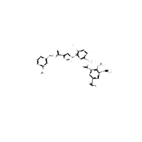 COc1cccc(CNC(=O)c2cc(-c3cc(NC(=O)c4cc(C(C)(C)C)cc(C#N)c4OC)ccc3C)no2)c1